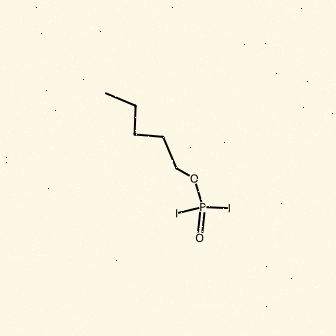 CCCCCOP(=O)(I)I